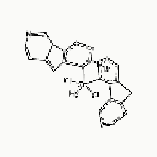 [SH][Zr]([Cl])([Cl])([c]1cccc2c1-c1ccccc1C2)[c]1c(Br)ccc2c1C=C1C=CN=CC12